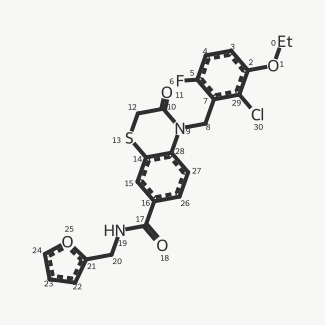 CCOc1ccc(F)c(CN2C(=O)CSc3cc(C(=O)NCc4ccco4)ccc32)c1Cl